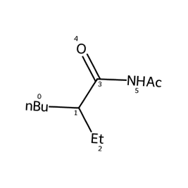 CCCCC(CC)C(=O)NC(C)=O